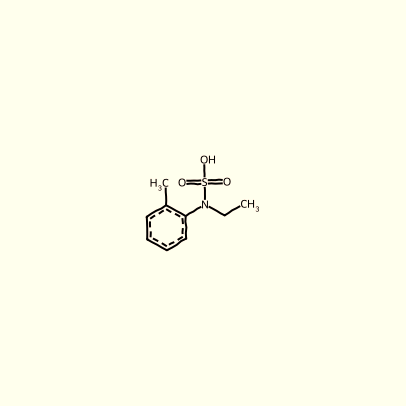 CCN(c1ccccc1C)S(=O)(=O)O